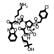 CC(C)(O)/C=C/C[C@@H](NS(C)(=O)=O)C(=O)N1C[C@H](S(=O)(=O)Cc2ccc(Cl)cc2)C[C@H]1C(=O)N[C@@H](CCCCN)C(=O)c1nc2ccccc2o1